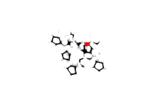 CCNc1nc(N(C[PH](=O)C2CCCC2)CP(=O)(C2CCCC2)C2CCCC2)nc(N(CC)C(C)(C)P(C2CCCC2)C2CCCC2)n1